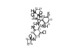 O=S1(=Nc2cc(Cl)c3c(Nc4ccc(F)cc4O[C@@H]4CO[C@@H]5CCO[C@@H]54)ncnc3c2)CCC1